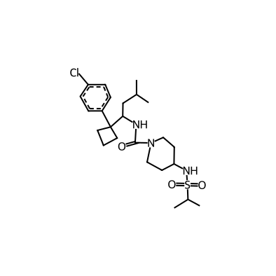 CC(C)CC(NC(=O)N1CCC(NS(=O)(=O)C(C)C)CC1)C1(c2ccc(Cl)cc2)CCC1